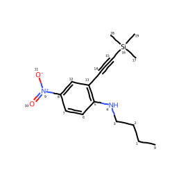 CCCCNc1ccc([N+](=O)[O-])cc1C#C[Si](C)(C)C